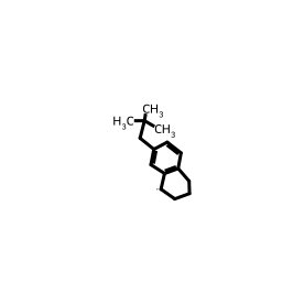 CC(C)(C)Cc1ccc2c(c1)[CH]CCC2